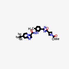 [2H]C([2H])([2H])c1ccn2c(C(=O)Nc3cc(-c4noc(C5CN(C(=O)OC)C5)n4)ccc3C)cnc2c1